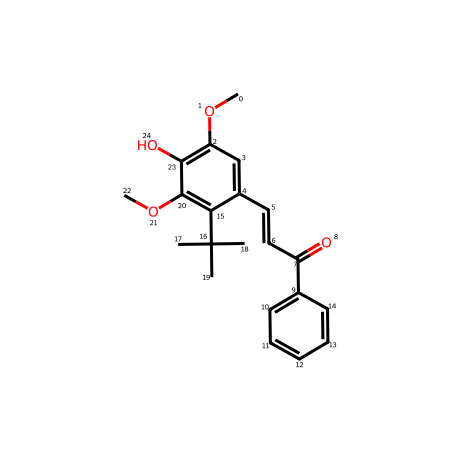 COc1cc(/C=C/C(=O)c2ccccc2)c(C(C)(C)C)c(OC)c1O